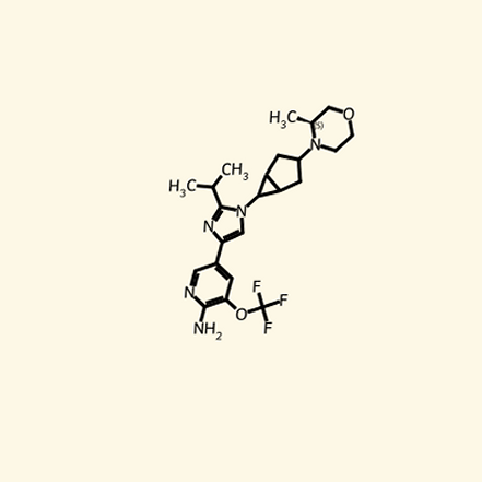 CC(C)c1nc(-c2cnc(N)c(OC(F)(F)F)c2)cn1C1C2CC(N3CCOC[C@@H]3C)CC21